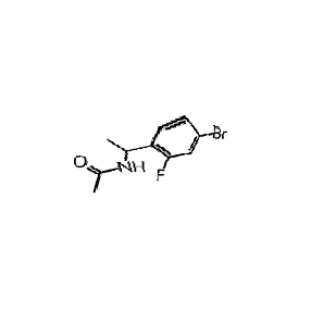 CC(=O)NC(C)c1ccc(Br)cc1F